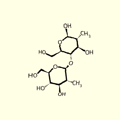 C[C@@H]1[C@@H](O)[C@H](O[C@@H]2O[C@H](CO)[C@@H](O)[C@H](O)[C@H]2C)[C@@H](CO)O[C@H]1O